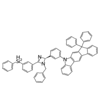 c1ccc(CN2C(c3cccc([SiH2]c4ccccc4)c3)=N[C@H]2c2cccc(-n3c4ccccc4c4cc5c(cc43)C(c3ccccc3)(c3ccccc3)c3ccccc3-5)c2)cc1